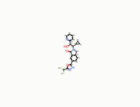 O=C1c2cc(-c3nnc(C(F)F)o3)ccc2CN1C(C1CC1)C(O)c1ccccn1